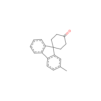 Cc1ccc2c(c1)C1(CCC(=O)CC1)c1ccccc1-2